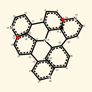 c1ccc(N(c2ccccc2-c2ccncc2)c2ccccc2-c2ccncc2)c(-c2ccncc2)c1